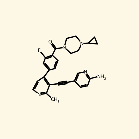 Cc1nccc(-c2ccc(C(=O)N3CCN(C4CC4)CC3)c(F)c2)c1C#Cc1ccc(N)nc1